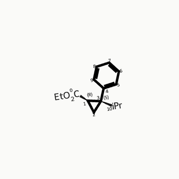 CCOC(=O)[C@@H]1C[C@]1(c1ccccc1)C(C)C